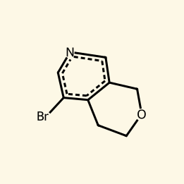 Brc1cncc2c1CCOC2